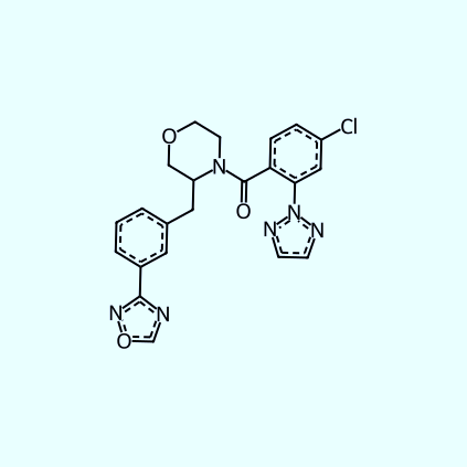 O=C(c1ccc(Cl)cc1-n1nccn1)N1CCOCC1Cc1cccc(-c2ncon2)c1